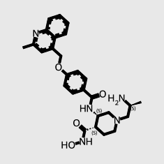 Cc1cc(COc2ccc(C(=O)N[C@@H]3CN(C[C@H](C)N)CC[C@@H]3C(=O)NO)cc2)c2ccccc2n1